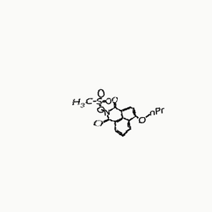 CCCOc1ccc2c3c(cccc13)C(=O)N(OS(C)(=O)=O)C2=O